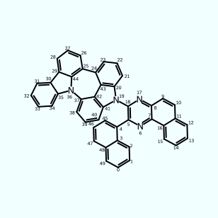 c1ccc2c(-c3nc4c(ccc5ccccc54)nc3-n3c4cccc5c6cccc7c8ccccc8n(c8cccc3c8c54)c67)cccc2c1